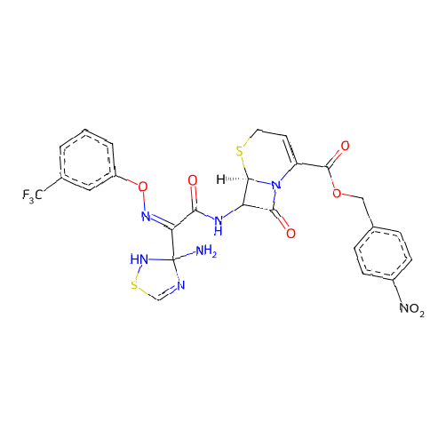 NC1(/C(=N/Oc2cccc(C(F)(F)F)c2)C(=O)NC2C(=O)N3C(C(=O)OCc4ccc([N+](=O)[O-])cc4)=CCS[C@H]23)N=CSN1